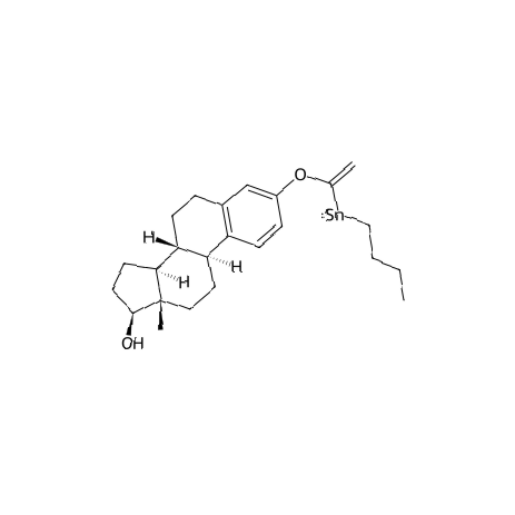 C=[C](Oc1ccc2c(c1)CC[C@@H]1[C@@H]2CC[C@]2(C)[C@@H](O)CC[C@@H]12)[Sn][CH2]CCC